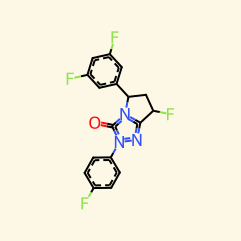 O=c1n(-c2ccc(F)cc2)nc2n1C(c1cc(F)cc(F)c1)CC2F